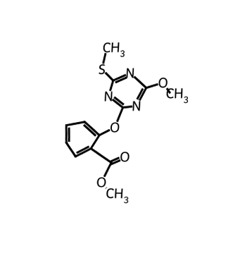 COC(=O)c1ccccc1Oc1nc(OC)nc(SC)n1